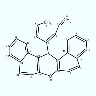 C=C/C=C(\C=C/C)C1c2c(ccc3ccccc23)Oc2ccc3ccccc3c21